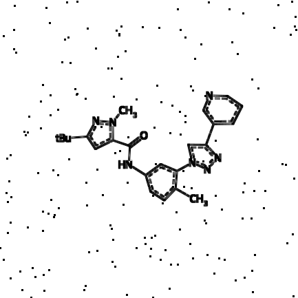 Cc1ccc(NC(=O)c2cc(C(C)(C)C)nn2C)cc1-n1cc(-c2cccnc2)nn1